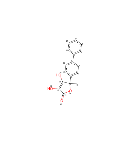 CC1(c2ccc(-c3ccccc3)cc2)OC(=O)C(O)=C1O